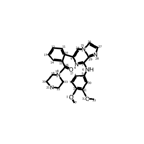 COc1ccc(Nc2nc(-c3ccccc3C(=O)N3CC[N]CC3)cn3ccnc23)cc1OC